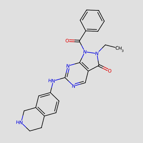 CCn1c(=O)c2cnc(Nc3ccc4c(c3)CNCC4)nc2n1C(=O)c1ccccc1